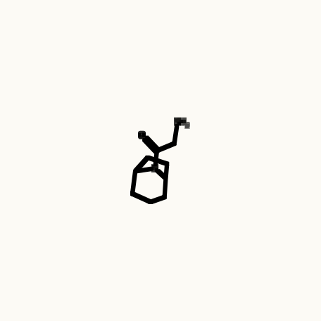 NCC(=O)N1C2CCCC1CC2